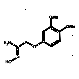 COc1ccc(OCC(N)=NO)cc1OC